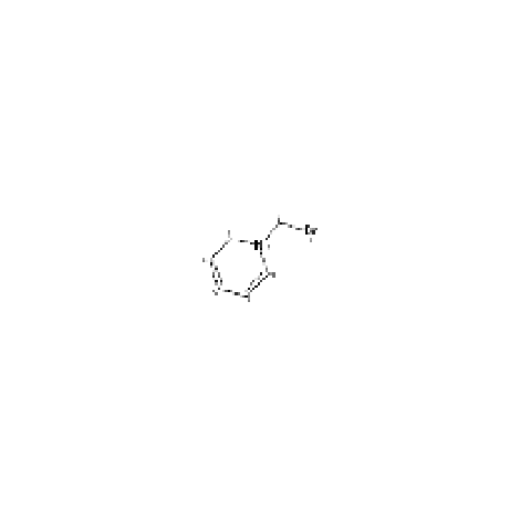 BrCN1C=CC=CC1